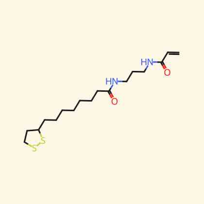 C=CC(=O)NCCCNC(=O)CCCCCCCC1CCSS1